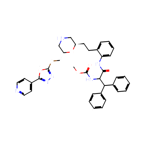 COC(=O)NC(C(=O)Nc1ccccc1CC[C@@H]1CNC[C@@H](CSc2nnc(-c3ccncc3)o2)O1)C(c1ccccc1)c1ccccc1